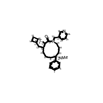 CN[C@]1(c2ccccc2)CCCC(CC2CCC2)C(C)C(=O)N(Cc2cccnc2)CCC1